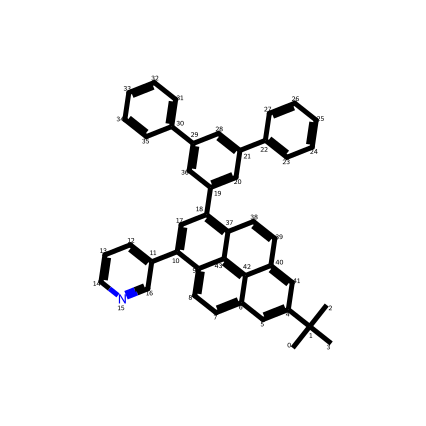 CC(C)(C)c1cc2ccc3c(-c4cccnc4)cc(-c4cc(-c5ccccc5)cc(-c5ccccc5)c4)c4ccc(c1)c2c34